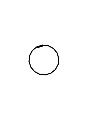 [CH]1CCC/C=C\CCCCCCCCCC1